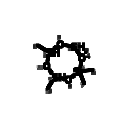 C[SiH]1O[SiH2]O[Si](C)(C)O[SiH](C)O1